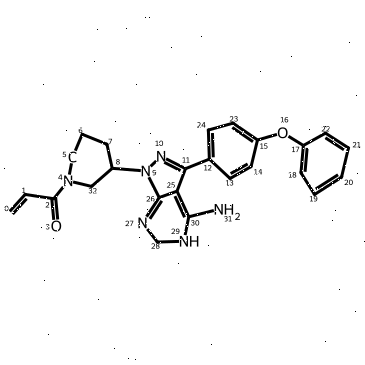 C=CC(=O)N1CCCC(n2nc(-c3ccc(Oc4ccccc4)cc3)c3c2=NCNC=3N)C1